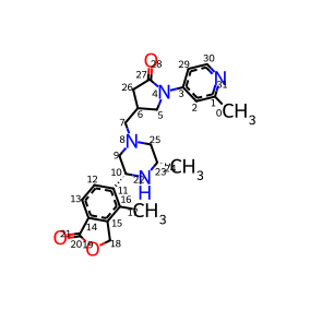 Cc1cc(N2CC(CN3C[C@@H](c4ccc5c(c4C)COC5=O)N[C@@H](C)C3)CC2=O)ccn1